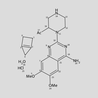 C1CC2=C1C2.COc1cc2nc(N3CCNCC3C(C)=O)nc(N)c2cc1OC.Cl.O